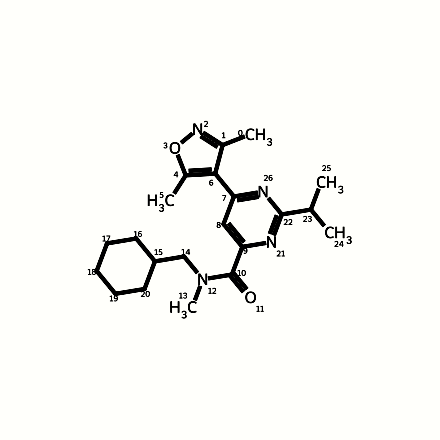 Cc1noc(C)c1-c1cc(C(=O)N(C)CC2CCCCC2)nc(C(C)C)n1